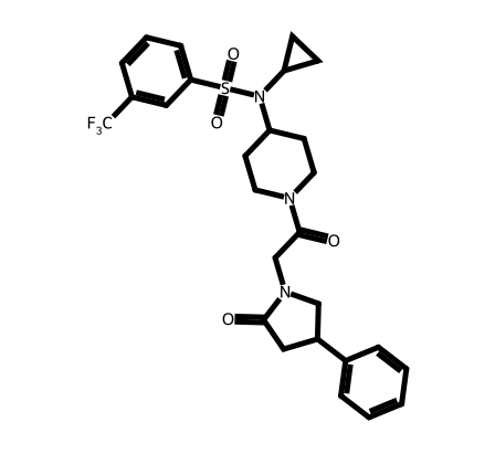 O=C(CN1CC(c2ccccc2)CC1=O)N1CCC(N(C2CC2)S(=O)(=O)c2cccc(C(F)(F)F)c2)CC1